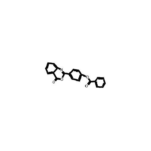 O=C(Oc1ccc(-c2nc3ccccc3c(=O)o2)cc1)c1ccccc1